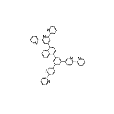 c1ccc(-c2ccc(-c3cc(-c4ccc(-c5ccccn5)nc4)cc(-c4ccc(-c5cc(-c6ccccn6)nc(-c6ccccn6)c5)c5ccccc45)c3)cn2)nc1